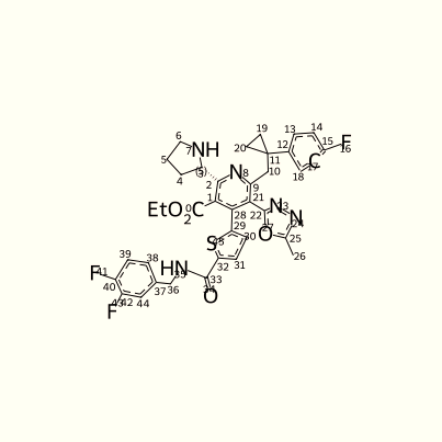 CCOC(=O)c1c([C@@H]2CCCN2)nc(CC2(c3ccc(F)cc3)CC2)c(-c2nnc(C)o2)c1-c1ccc(C(=O)NCc2ccc(F)c(F)c2)s1